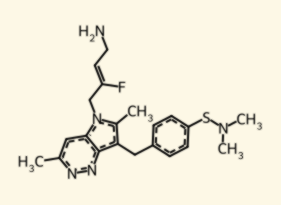 Cc1cc2c(nn1)c(Cc1ccc(SN(C)C)cc1)c(C)n2C/C(F)=C/CN